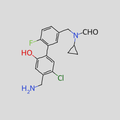 NCc1cc(O)c(-c2cc(CN(C=O)C3CC3)ccc2F)cc1Cl